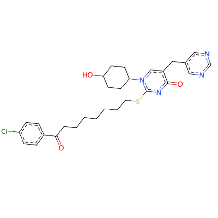 O=C(CCCCCCCSc1nc(=O)c(Cc2cncnc2)cn1C1CCC(O)CC1)c1ccc(Cl)cc1